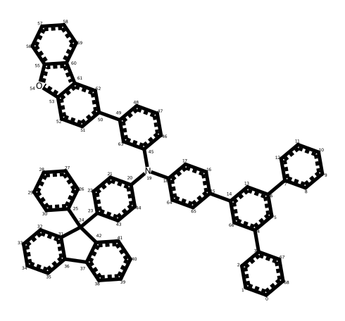 c1ccc(-c2cc(-c3ccccc3)cc(-c3ccc(N(c4ccc(C5(c6ccccc6)c6ccccc6-c6ccccc65)cc4)c4cccc(-c5ccc6oc7ccccc7c6c5)c4)cc3)c2)cc1